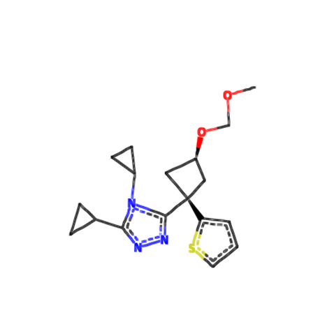 COCO[C@H]1C[C@](c2cccs2)(c2nnc(C3CC3)n2C2CC2)C1